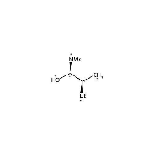 CC[C@H](C)[C@@H](O)NC